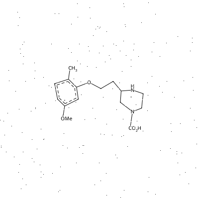 COc1ccc(C)c(OCCC2CN(C(=O)O)CCN2)c1